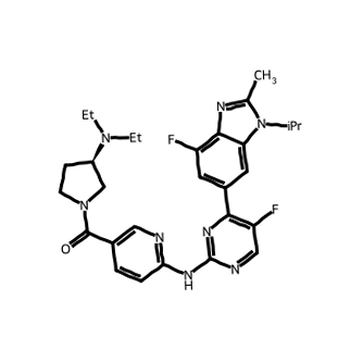 CCN(CC)[C@@H]1CCN(C(=O)c2ccc(Nc3ncc(F)c(-c4cc(F)c5nc(C)n(C(C)C)c5c4)n3)nc2)C1